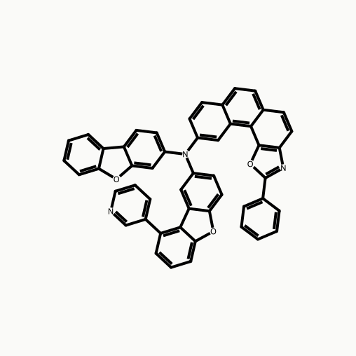 c1ccc(-c2nc3ccc4ccc5ccc(N(c6ccc7c(c6)oc6ccccc67)c6ccc7oc8cccc(-c9cccnc9)c8c7c6)cc5c4c3o2)cc1